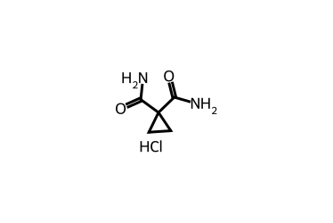 Cl.NC(=O)C1(C(N)=O)CC1